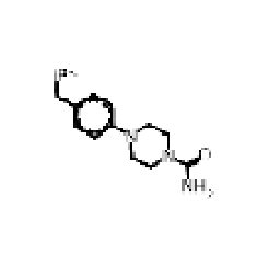 C[C](C)Cc1ccc(N2CCN(C(N)=O)CC2)cc1